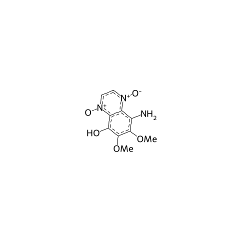 COc1c(OC)c(O)c2c(c1N)[n+]([O-])cc[n+]2[O-]